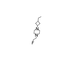 CCC1CC(N2CCN(CCF)CC2)C1